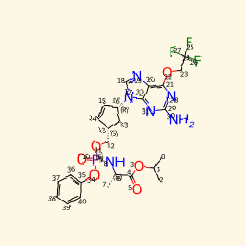 CC(C)OC(=O)[C@H](C)N[P@](=O)(OC[C@@H]1C=C[C@H](n2cnc3c(OCC(F)(F)F)nc(N)nc32)C1)Oc1ccccc1